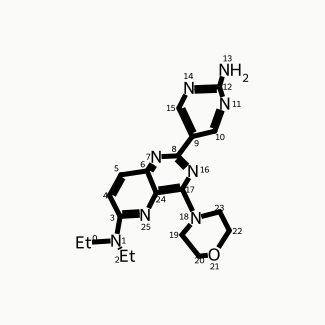 CCN(CC)c1ccc2nc(-c3cnc(N)nc3)nc(N3CCOCC3)c2n1